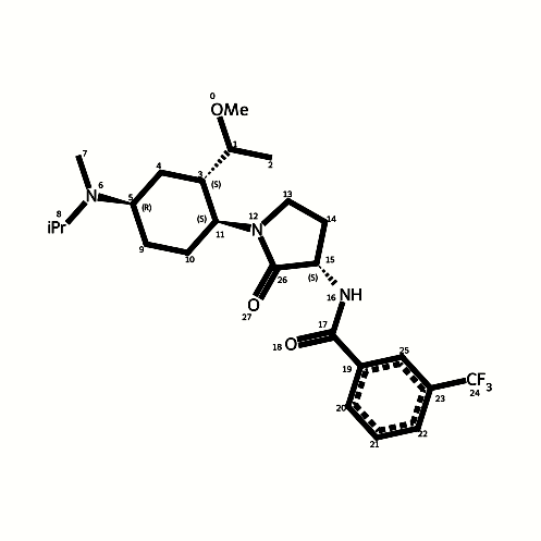 COC(C)[C@H]1C[C@H](N(C)C(C)C)CC[C@@H]1N1CC[C@H](NC(=O)c2cccc(C(F)(F)F)c2)C1=O